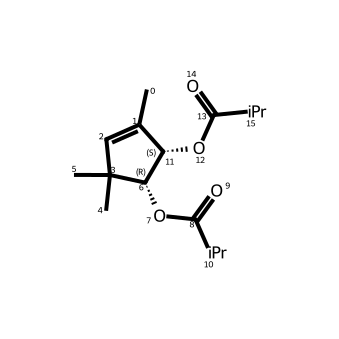 CC1=CC(C)(C)[C@@H](OC(=O)C(C)C)[C@H]1OC(=O)C(C)C